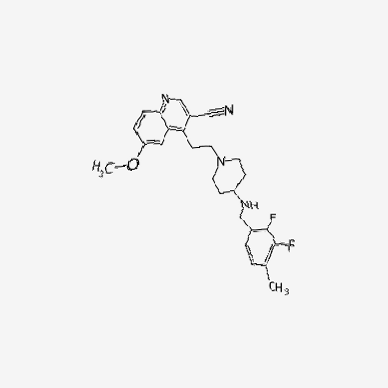 COc1ccc2ncc(C#N)c(CCN3CCC(NCc4ccc(C)c(F)c4F)CC3)c2c1